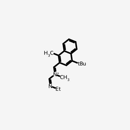 CC/N=C\[N+](C)=C\c1cc(C(C)(C)C)c2ccccc2c1C